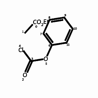 CCOC(C)=O.O=C(Cl)Oc1ccccc1